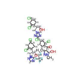 Cc1nn(C)c(O)c1C(=O)c1ccc(Cl)cc1Cl.FC(OCC(Cn1cncn1)c1ccc(Cl)cc1Cl)C(F)(F)F.OCC(Cn1cncn1)c1ccc(Cl)cc1Cl